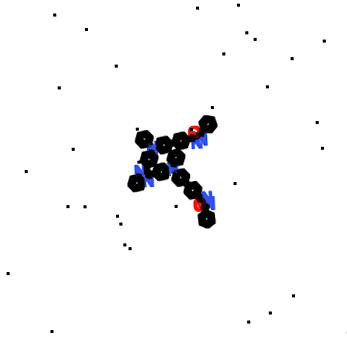 c1ccc(-c2nnc(-c3ccc(-c4ccc(N(c5ccccc5)c5ccc(-c6nc7ccccc7nc6-c6ccc(N(c7ccccc7)c7ccc(-c8ccc(-c9nnc(-c%10ccccc%10)o9)cc8)cc7)cc6)cc5)cc4)cc3)o2)cc1